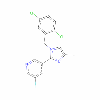 Cc1cn(Cc2cc(Cl)ccc2Cl)c(-c2cncc(F)c2)n1